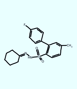 Cc1ccc(S(=O)(=O)NN=C2CCCCC2)c(-c2ccc(F)cc2)c1